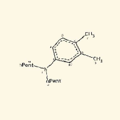 CCCCCN(CCCCC)c1ccc(C)c(C)c1